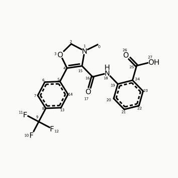 CN1COC(c2ccc(C(F)(F)F)cc2)=C1C(=O)Nc1ccccc1C(=O)O